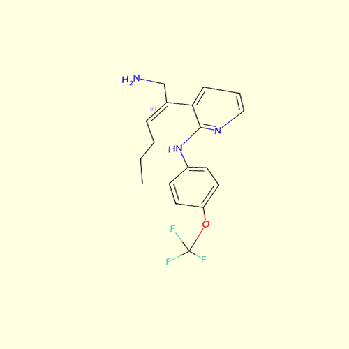 CCC/C=C(/CN)c1cccnc1Nc1ccc(OC(F)(F)F)cc1